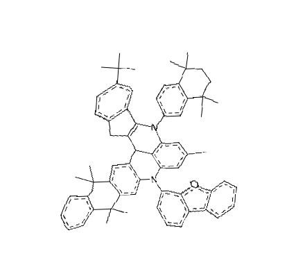 Cc1cc2c3c(c1)N(c1cccc4c1oc1ccccc14)c1cc4c(cc1C3C1=C(c3cc(C(C)(C)C)ccc3C1)N2c1ccc2c(c1)C(C)(C)CCC2(C)C)C(C)(C)c1ccccc1C4(C)C